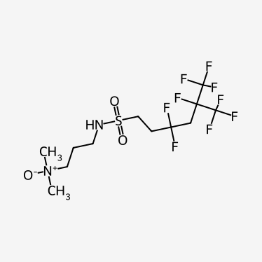 C[N+](C)([O-])CCCNS(=O)(=O)CCC(F)(F)CC(F)(C(F)(F)F)C(F)(F)F